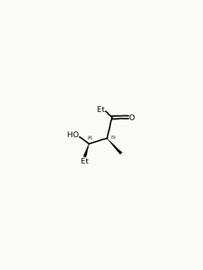 CCC(=O)[C@@H](C)[C@H](O)CC